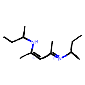 CCC(C)/N=C(C)/C=C(/C)NC(C)CC